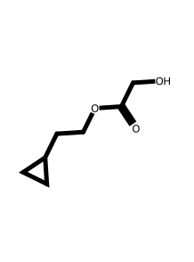 O=C(CO)OCCC1CC1